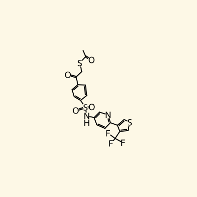 CC(=O)SCC(=O)c1ccc(S(=O)(=O)Nc2ccc(-c3cscc3C(F)(F)F)nc2)cc1